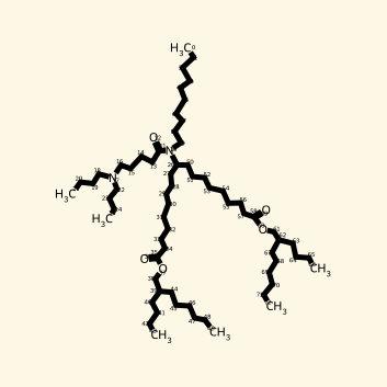 CCCCCCCCCCN(C(=O)CCCCN(CCCC)CCCC)C(CCCCCCCCC(=O)OCC(CCCC)CCCCCC)CCCCCCCCC(=O)OCC(CCCC)CCCCCC